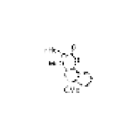 CCCCCCOC(=O)Oc1c(OC)cc(OC)c2ccccc12